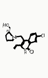 CCc1[nH]c(=O)c2cc(Cl)ccc2c1CN1CCC[C@@H]1CO